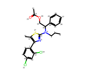 CCCN(c1nc(-c2ccc(Cl)cc2Cl)c(C)s1)C(COC(C)=O)c1ccccc1